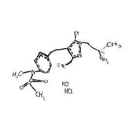 CCc1nn(C[C@H](C)N)c(CC)c1Cc1ccc(N(C)S(C)(=O)=O)cc1.Cl.Cl